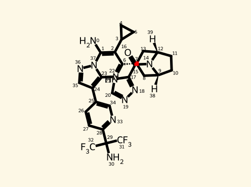 Nc1c(C2CC2)c([C@H]2C[C@H]3CC[C@@H](C2)N3C(=O)c2nnc[nH]2)nc2c(-c3ccc(C(N)(C(F)(F)F)C(F)(F)F)nc3)cnn12